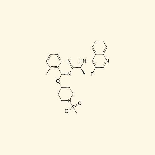 Cc1cccc2nc([C@H](C)Nc3c(F)cnc4ccccc34)nc(OC3CCN(S(C)(=O)=O)CC3)c12